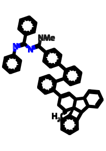 C=C1CC(c2ccccc2-c2ccccc2-c2ccc(/C(=N/C(=N\c3ccccc3)c3ccccc3)NC)cc2)=CC2C3C=CC=CC3C3c4ccccc4[C@@]123